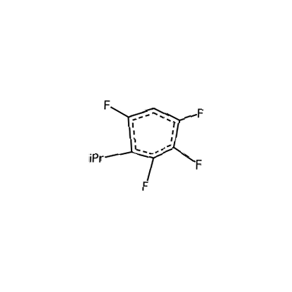 CC(C)c1c(F)cc(F)c(F)c1F